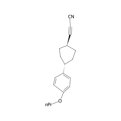 CCCOc1ccc([C@H]2CC[C@H](C#CC#N)CC2)cc1